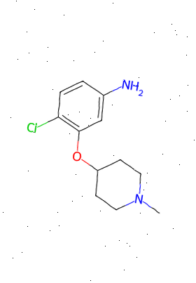 CN1CCC(Oc2cc(N)ccc2Cl)CC1